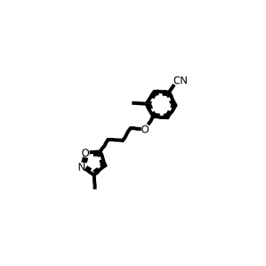 Cc1cc(CCCOc2ccc(C#N)cc2C)on1